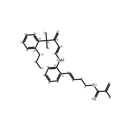 C=C(C)C(=O)OCC/C=C/c1ccccc1N/C=C/C(=C)C(C)(C)c1ccccc1CCC